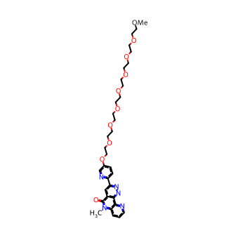 COCCOCCOCCOCCOCCOCCOCCOCCOc1ccc(-c2cc3c(=O)n(C)c4cccnc4c3nn2)nc1